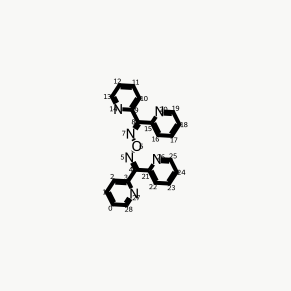 c1ccc(C(=NON=C(c2ccccn2)c2ccccn2)c2ccccn2)nc1